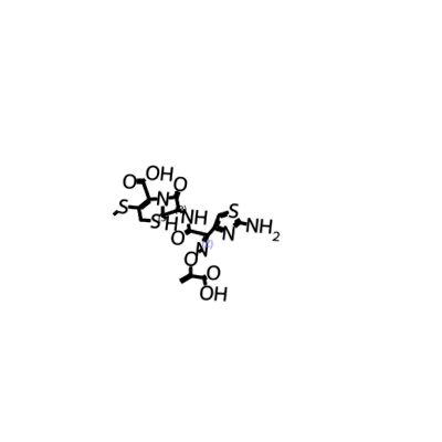 C=C(O/N=C(\C(=O)N[C@@H]1C(=O)N2C(C(=O)O)=C(SC)CS[C@@H]12)c1csc(N)n1)C(=O)O